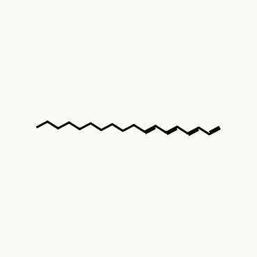 C=CC=CC=CC=CCCCCCCCCCC